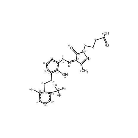 CC1=NN(CCCC(=O)O)C(=O)/C1=N\Nc1cccc(CCc2c(F)cccc2C(F)(F)F)c1O